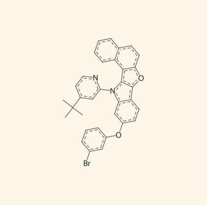 CC(C)(C)c1ccnc(-n2c3cc(Oc4cccc(Br)c4)ccc3c3oc4ccc5ccccc5c4c32)c1